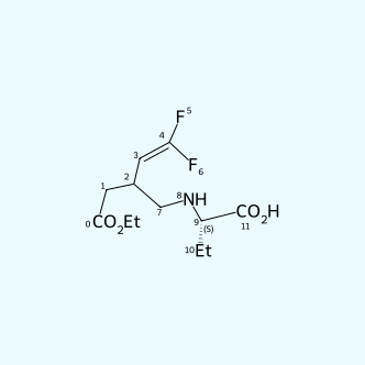 CCOC(=O)CC(C=C(F)F)CN[C@@H](CC)C(=O)O